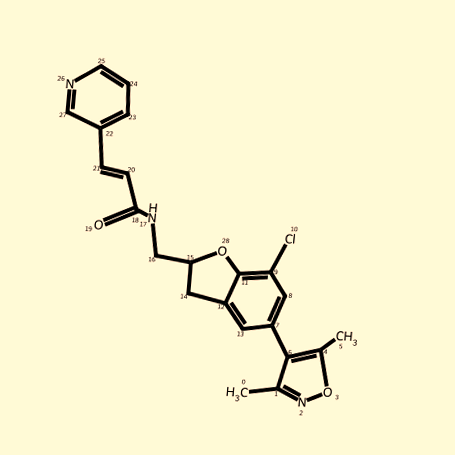 Cc1noc(C)c1-c1cc(Cl)c2c(c1)CC(CNC(=O)C=Cc1cccnc1)O2